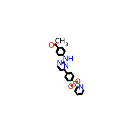 CC(=O)c1ccc(Nc2nccc(-c3ccc(S(=O)(=O)c4ccccn4)cc3)n2)cc1